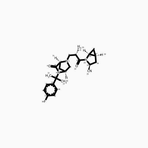 C[C@@H](CN1C[C@@H]2C[C@H]1C(=O)N2C(C)(C)c1ccc(F)cc1)C(=O)N1[C@H](C#N)C[C@@H]2C[C@@H]21